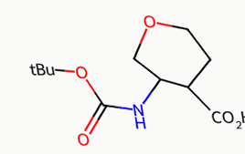 CC(C)(C)OC(=O)NC1COCCC1C(=O)O